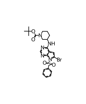 CC(C)(C)OC(=O)N1CCCC(Nc2ncnc3c2cc(Br)n3S(=O)(=O)c2ccccc2)C1